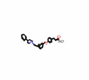 O=NC(=O)CCc1ccc(OCc2ccc(CN3CCC(C4=CCCC=C4)CC3)cc2)cc1